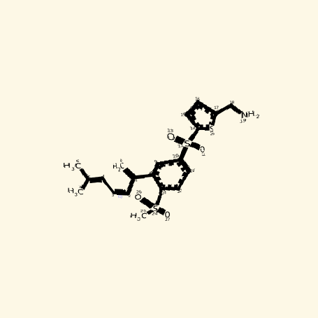 C=C(/C=C\C=C(C)C)c1cc(S(=O)(=O)c2ccc(CN)s2)ccc1S(C)(=O)=O